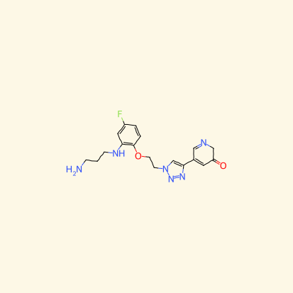 NCCCNc1cc(F)ccc1OCCn1cc(C2=CC(=O)CN=C2)nn1